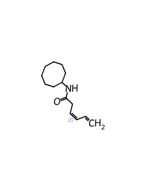 C=C/C=C\CC(=O)NC1CCCCCCC1